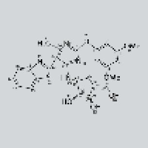 COc1cc(OC)cc(Oc2nc(C)c(-c3nc4ccccc4s3)c(N[C@@H]3C[C@H](CO)[C@@H](O)[C@H]3O)n2)c1